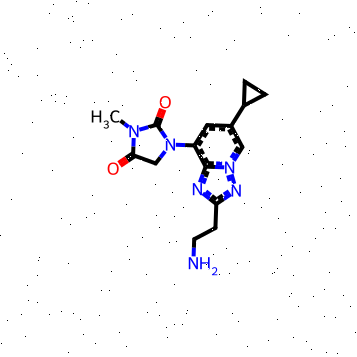 CN1C(=O)CN(c2cc(C3CC3)cn3nc(CCN)nc23)C1=O